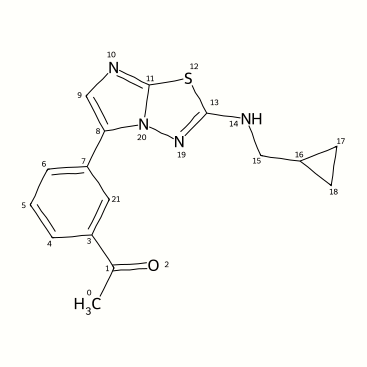 CC(=O)c1cccc(-c2cnc3sc(NCC4CC4)nn23)c1